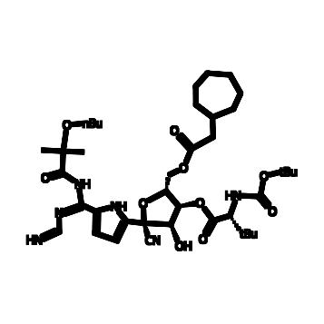 CCCCOC(C)(C)C(=O)N/C(=N/C=N)c1ccc([C@]2(C#N)O[C@H](COC(=O)CC3CCCCCC3)[C@@H](OC(=O)[C@H](NC(=O)OC(C)(C)C)C(C)(C)C)[C@H]2O)[nH]1